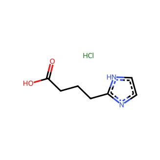 Cl.O=C(O)CCCc1ncc[nH]1